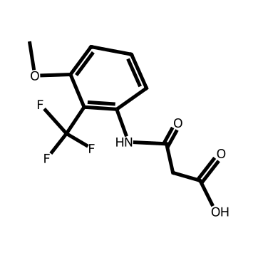 COc1cccc(NC(=O)CC(=O)O)c1C(F)(F)F